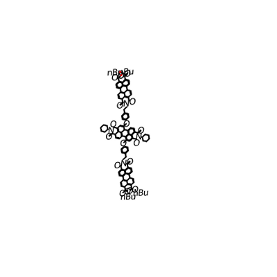 CCCCOC(=O)C1=C2C3=C(C=CC2C(=O)OCCCC)c2ccc4c5c(ccc(c25)C3C=C1)C(=O)N(CCc1ccc(Oc2cc3c5c(ccc6c5c2C2=C5C7=C(C=C(Oc8ccc(CCN9C(=O)C%10=C%11C%12=C(C=CC%11C9=O)c9ccc(C(=O)OCCCC)c%11c(C(=O)OCCCC)ccc(c9%11)C%12C=C%10)cc8)C56)C(=O)N(C5CCCCC5)C(=O)C7C=C2)C(=O)N(C2CCCCC2)C3=O)cc1)C4=O